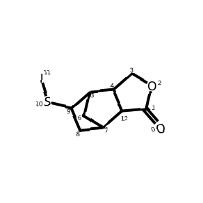 O=C1OCC2C3CC(CC3SI)C12